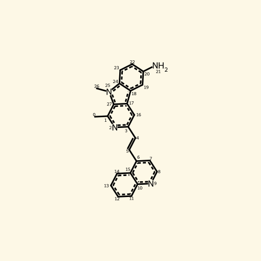 Cc1nc(C=Cc2ccnc3ccccc23)cc2c3cc(N)ccc3n(C)c12